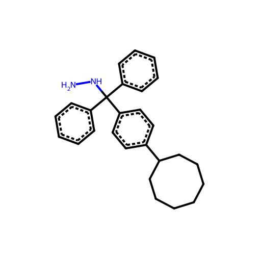 NNC(c1ccccc1)(c1ccccc1)c1ccc(C2CCCCCCC2)cc1